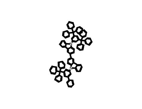 c1ccc(-c2cc(-n3c4ccccc4c4cc(-c5ccc6c(c5)c5ccccc5n6-c5cc(C(c6ccccc6)(c6ccccc6)c6ccccc6)cc(C(c6ccccc6)(c6ccccc6)c6ccccc6)c5)ccc43)cc(C(c3ccccc3)(c3ccccc3)c3ccccc3)c2)cc1